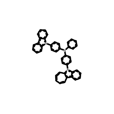 C1=CC=Cc2c(n(-c3ccc(N(c4ccccc4)c4ccc(-n5c6ccccc6c6ccccc65)cc4)cc3)c3ccccc23)C=1